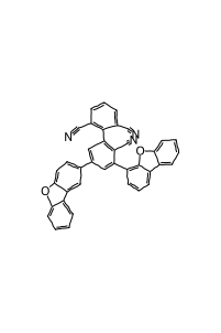 N#Cc1cccc(C#N)c1-c1cc(-c2ccc3oc4ccccc4c3c2)cc(-c2cccc3c2oc2ccccc23)c1C#N